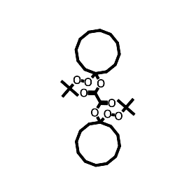 CC(C)(C)OOC1(OC(=O)C(=O)OC2(OOC(C)(C)C)CCCCCCCCCCC2)CCCCCCCCCCC1